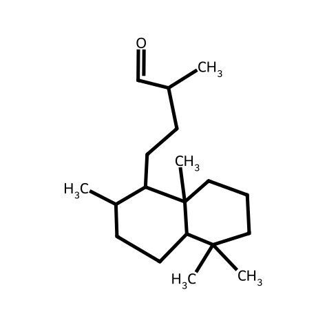 CC(C=O)CCC1C(C)CCC2C(C)(C)CCCC12C